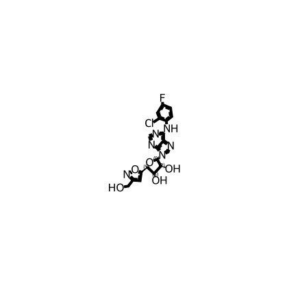 OCc1cc([C@H]2O[C@@H](n3cnc4c(Nc5ccc(F)cc5Cl)ncnc43)[C@H](O)[C@@H]2O)on1